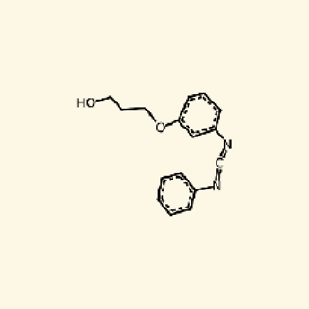 OCCCOc1cccc(N=C=Nc2ccccc2)c1